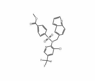 COC(=O)c1ccc(S(=O)(=O)N(Cc2ccc3ncccc3c2)c2ncc(C(F)(F)F)cc2Cl)cc1